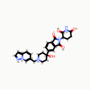 O=C1CCC(N2C(=O)c3ccc(C4(O)CCN(Cc5ccc6ccnn6c5)CC4)cc3C2=O)C(=O)N1